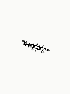 CCN(CC)C(=O)C1CCCN(C(=O)c2cc(N)n3nc(-c4ccc(Br)o4)nc3c2)C1